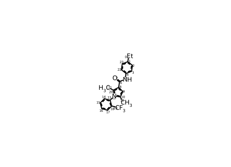 [CH2]Cc1ccc(NC(=O)c2cc(C)n(-c3ccccc3C(F)(F)F)c2C)cc1